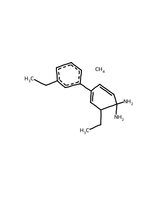 C.CCc1cccc(C2=CC(CC)C(N)(N)C=C2)c1